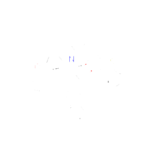 c1cc(-c2ccc3ccccc3c2)cc(N(c2ccc3oc4ccccc4c3c2)c2ccccc2-c2ccc3c(c2)sc2ccccc23)c1